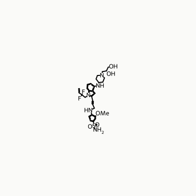 C=CC(F)(F)Cn1c(C#CCNc2ccc(S(N)(=O)=O)cc2OC)cc2c(NC3CCN(CC(O)CO)CC3)cccc21